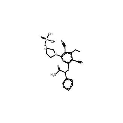 CCc1c(C#N)c(SC(C(N)=O)c2ccccc2)nc(N2CC[C@H](OP(=O)(O)O)C2)c1C#N